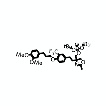 COc1ccc(CCCOc2ccc(CCC3(COP(=O)(OC(C)(C)C)OC(C)(C)C)COC(C)=N3)cc2C(F)(F)F)cc1OC